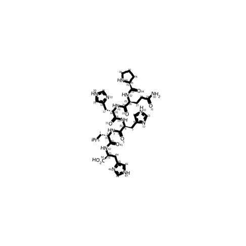 CC(C)C[C@H](NC(=O)[C@H](Cc1c[nH]cn1)NC(=O)[C@H](Cc1c[nH]cn1)NC(=O)[C@H](CCC(N)=O)NC(=O)[C@@H]1CCCN1)C(=O)N[C@@H](Cc1c[nH]cn1)C(=O)O